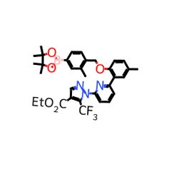 CCOC(=O)c1cnn(-c2cccc(-c3cc(C)ccc3OCc3ccc(B4OC(C)(C)C(C)(C)O4)cc3C)n2)c1C(F)(F)F